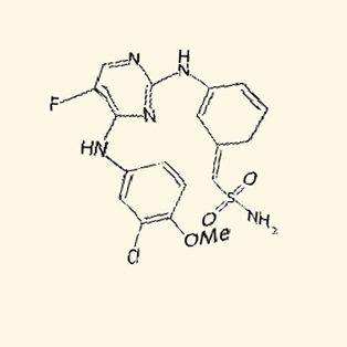 COc1ccc(Nc2nc(NC3=CC(=CS(N)(=O)=O)CC=C3)ncc2F)cc1Cl